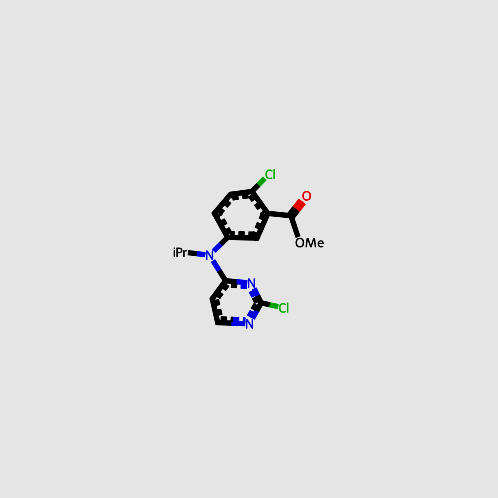 COC(=O)c1cc(N(c2ccnc(Cl)n2)C(C)C)ccc1Cl